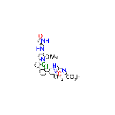 COc1nc(-c2cccc(-c3cccc(-c4cc(C)n5c(=O)c(CN6CC(C(=O)O)C6)cnc5c4)c3Cl)c2Cl)ccc1CNC[C@H]1CCC(=O)N1